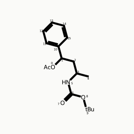 CC(=O)OC(CC(C)NC(=O)OC(C)(C)C)c1ccccc1